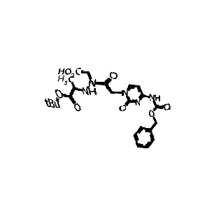 CC(NN(CC(=O)O)C(=O)Cn1ccc(NC(=O)OCc2ccccc2)nc1=O)C(=O)OC(C)(C)C